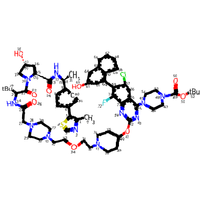 Cc1ncsc1-c1ccc([C@H](C)NC(=O)[C@@H]2C[C@@H](O)CN2C(=O)C(NC(=O)CN2CCN(CCOCCN3CCC(Oc4nc(N5CCN(C(=O)OC(C)(C)C)CC5)c5cc(Cl)c(-c6cc(O)cc7ccccc67)c(F)c5n4)CC3)CC2)C(C)(C)C)cc1